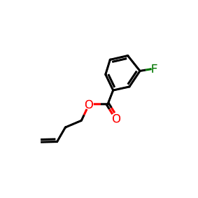 C=CCCOC(=O)c1cccc(F)c1